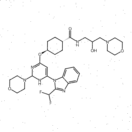 O=C(NCC(O)CN1CCOCC1)[C@H]1CC[C@H](OC2=NC(N3CCOCC3)NC(n3c(C(F)F)nc4ccccc43)=C2)CC1